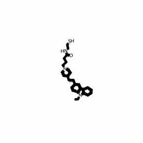 CCn1c2ccccc2c2cc(/C=C/c3cc[n+](CCCC(=O)NCCS)cc3)ccc21